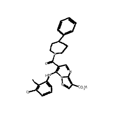 Cc1c(Cl)cccc1Nc1c(C(=O)N2CCC(c3ccccc3)CC2)cnc2c(C(=O)O)cnn12